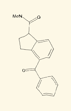 CNC(=O)C1CCc2c(C(=O)c3ccccc3)cccc21